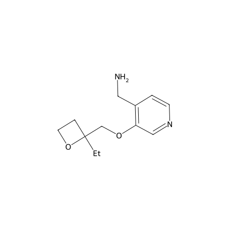 CCC1(COc2cnccc2CN)CCO1